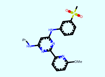 COc1cccc(-c2nc(Nc3cccc(S(C)(=O)=O)c3)cc(NC(C)C)n2)n1